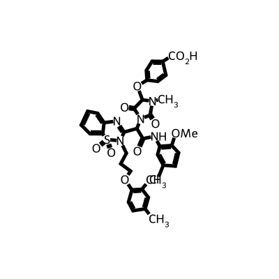 COc1ccc(Cl)cc1NC(=O)C(C1=Nc2ccccc2S(=O)(=O)N1CCCOc1ccc(C)cc1C)N1C(=O)C(Oc2ccc(C(=O)O)cc2)N(C)C1=O